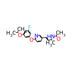 CC(=O)N[C@@H](C)/C=C/c1ccc(Oc2cc(F)cc(OC(C)C)c2)nc1